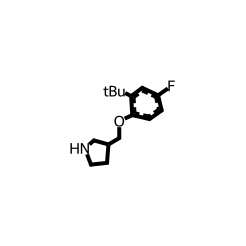 CC(C)(C)c1cc(F)ccc1OCC1CCNC1